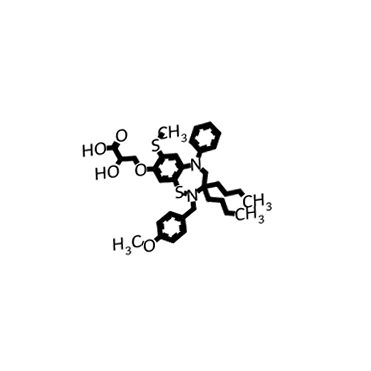 CCCCC1(CCCC)CN(c2ccccc2)c2cc(SC)c(OCC(O)C(=O)O)cc2SN1Cc1ccc(OC)cc1